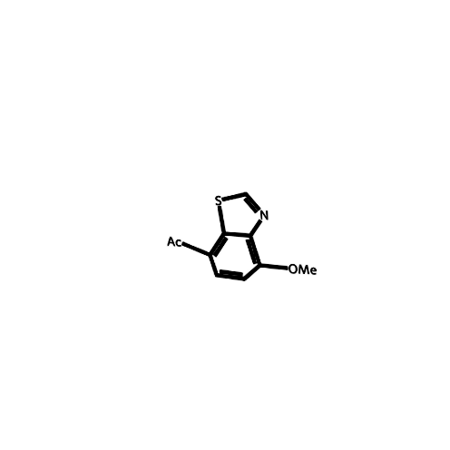 COc1ccc(C(C)=O)c2scnc12